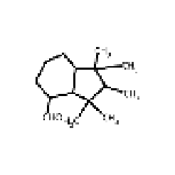 CC1C(C)(C)C2CCCC(C=O)C2C1(C)C